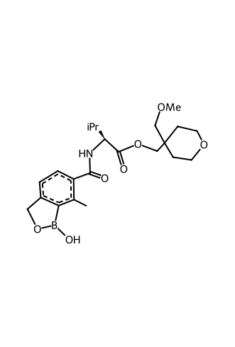 COCC1(COC(=O)[C@@H](NC(=O)c2ccc3c(c2C)B(O)OC3)C(C)C)CCOCC1